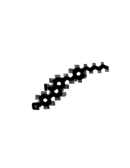 CCCCCCc1ccc(CCc2ccc3c(F)c(-c4ccc(Cl)cc4)ccc3c2)cc1